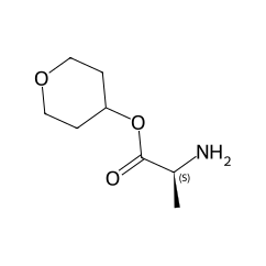 C[C@H](N)C(=O)OC1CCOCC1